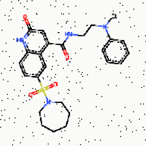 CCN(CCNC(=O)c1cc(=O)[nH]c2ccc(S(=O)(=O)N3CCCCCC3)cc12)c1ccccc1